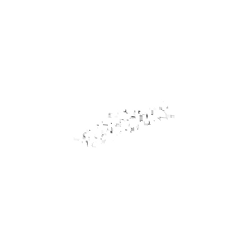 O=C(N[C@H]1CCOc2c(C(=O)Nc3ccc(F)c(Cl)c3)ccc(F)c21)OCC1CCNCC1